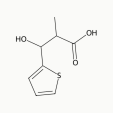 CC(C(=O)O)C(O)c1cccs1